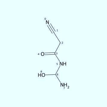 N#CCC(=O)NC(N)O